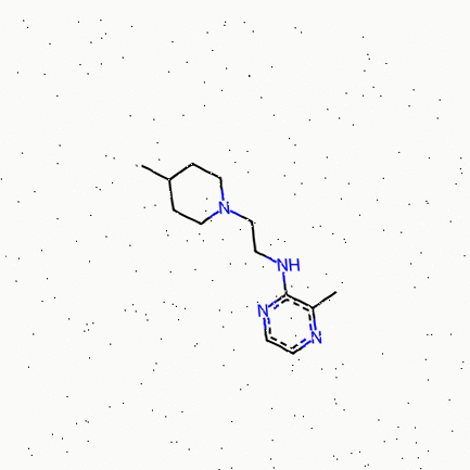 [CH2]C1CCN(CCNc2nccnc2C)CC1